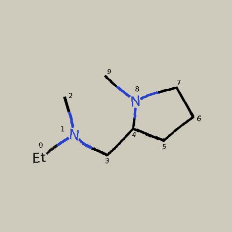 CCN(C)CC1CCCN1C